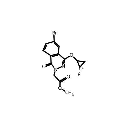 COC(=O)Cn1nc(OC2C[C@@H]2F)c2cc(Br)ccc2c1=O